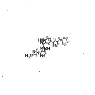 Cc1cn(-c2nccc3[nH]c(-c4n[nH]c5cnc(-c6cncc(CN7CCCCC7)c6)cc45)nc23)cn1